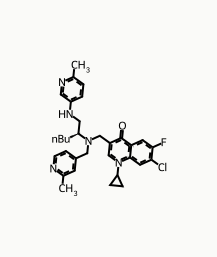 CCCC[C@@H](CNc1ccc(C)nc1)N(Cc1ccnc(C)c1)Cc1cn(C2CC2)c2cc(Cl)c(F)cc2c1=O